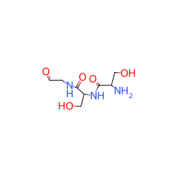 NC(CO)C(=O)NC(CO)C(=O)NCC=O